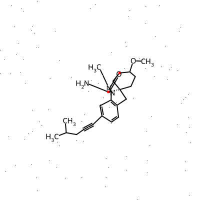 COC1CCC2(CC1)Cc1ccc(C#CCC(C)C)cc1[C@@]21N=C(N)N(C)C1=O